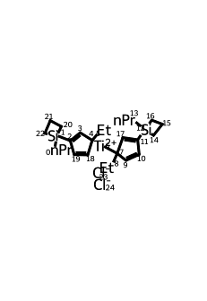 CCC[Si]1(C2=C[C](CC)([Ti+2][C]3(CC)C=CC([Si]4(CCC)CCC4)=C3)C=C2)CCC1.[Cl-].[Cl-]